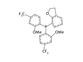 COc1cc(C(F)(F)F)ccc1P(c1ccc(C(F)(F)F)cc1OC)c1cccc2c1OCC2